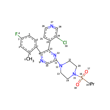 Cc1cc(F)ccc1-c1ncc(N2CCN(S(=O)(=O)C(C)C)CC2)nc1-c1ccncc1Cl